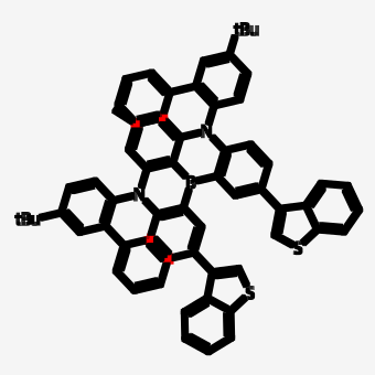 Cc1cc2c3c(c1)N(c1ccc(C(C)(C)C)cc1-c1ccccc1)c1ccc(-c4csc5ccccc45)cc1B3c1cc(-c3csc4ccccc34)ccc1N2c1ccc(C(C)(C)C)cc1-c1ccccc1